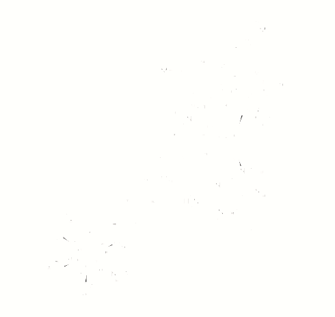 COc1ccc(C(OC(C(=O)C(C)C)[C@H]2O[C@@H](n3cnc4c(=O)[nH]c(N)nc43)C[C@@H]2OP(=O)(OCCOCCOCCO[C@@H]2O[C@H](COC(C)=O)[C@H](OC(C)=O)[C@H](OC(C)=O)[C@H]2NC(C)=O)N(C(C)C)C(C)C)(c2ccccc2)c2ccc(OC)cc2)cc1